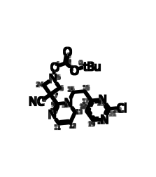 CC(C)(C)OC(=O)ON1CC(C#N)(C2=NC=CCN2CCc2ccnc(Cl)n2)C1